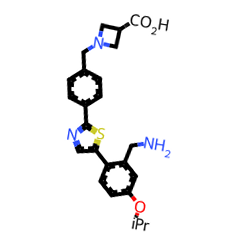 CC(C)Oc1ccc(-c2cnc(-c3ccc(CN4CC(C(=O)O)C4)cc3)s2)c(CN)c1